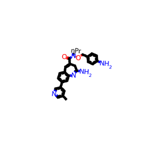 CCCN(OCc1ccc(N)cc1)C(=O)C1=Cc2ccc(-c3cncc(C)c3)cc2N=C(N)C1